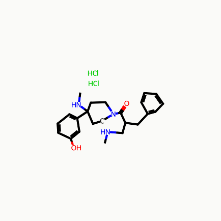 CNCC(Cc1ccccc1)C(=O)N1CCC(NC)(c2cccc(O)c2)CC1.Cl.Cl